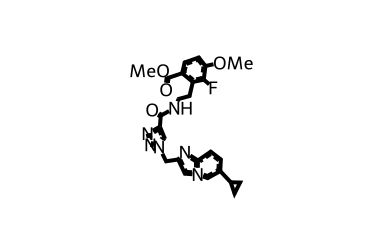 COC(=O)c1ccc(OC)c(F)c1CCNC(=O)c1cn(Cc2cn3cc(C4CC4)ccc3n2)nn1